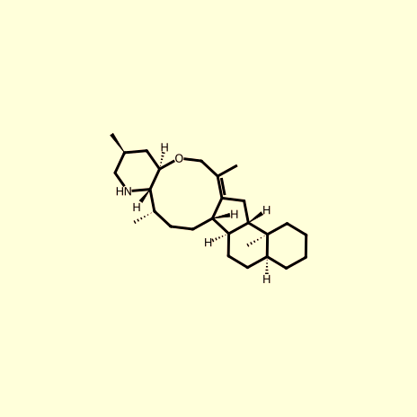 C/C1=C2\C[C@H]3[C@@H](CC[C@@H]4CCCC[C@@]43C)[C@@H]2CC[C@H](C)[C@@H]2NC[C@@H](C)C[C@H]2OC1